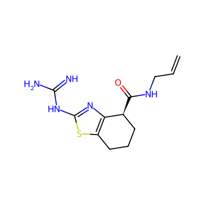 C=CCNC(=O)[C@H]1CCCc2sc(NC(=N)N)nc21